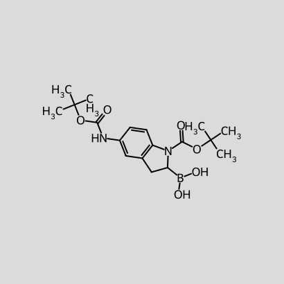 CC(C)(C)OC(=O)Nc1ccc2c(c1)CC(B(O)O)N2C(=O)OC(C)(C)C